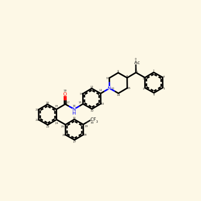 CC(=O)C(c1ccccc1)C1CCN(c2ccc(NC(=O)c3ccccc3-c3cccc(C(F)(F)F)c3)cc2)CC1